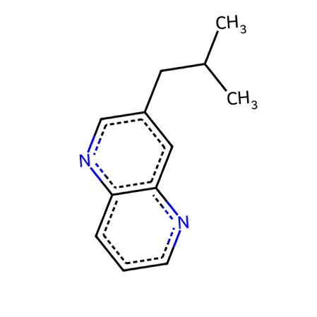 CC(C)Cc1cnc2cccnc2c1